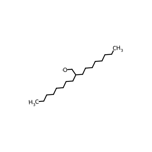 CCCCCCCCC(C[O])CCCCCCCC